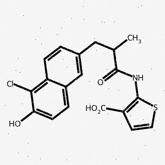 CC(Cc1ccc2c(Cl)c(O)ccc2c1)C(=O)Nc1sccc1C(=O)O